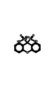 O=P(O)(O)C1(P(=O)(O)O)c2ccccc2Oc2ccccc21